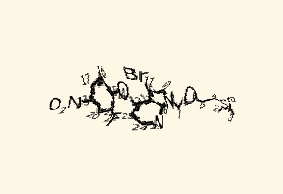 C[Si](C)(C)CCOCn1cc(Br)c2c(Oc3ccc([N+](=O)[O-])cc3F)ccnc21